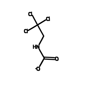 [O]C(=O)NCC(Cl)(Cl)Cl